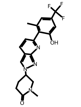 Cc1cc(C(F)(F)F)cc(O)c1-c1ccc2cn(C3CCC(=O)N(C)C3)nc2n1